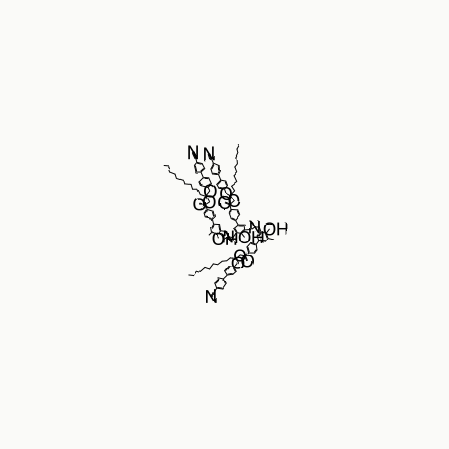 CCCCCCCCCCCC(OC(=O)c1ccc(-c2cc(C)c(O)c(CN(C)Cc3cc(-c4ccc(C(=O)OC(CCCCCCCCCCC)Oc5ccc(-c6ccc(C#N)cc6)cc5)cc4)cc(CN(C)Cc4cc(-c5ccc(C(=O)OC(CCCCCCCCCCC)Oc6ccc(-c7ccc(C#N)cc7)cc6)cc5)cc(C)c4O)c3O)c2)cc1)Oc1ccc(-c2ccc(C#N)cc2)cc1